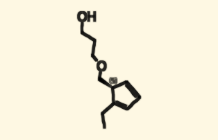 CCC1=CC=C[C@@H]1COCCCO